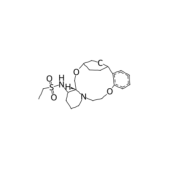 CCS(=O)(=O)NC1CCCN2CCOc3ccccc3C3CCC(CC3)OC[C@@H]12